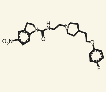 O=C(NCCN1CCC(CCOc2ccc(F)cc2)CC1)N1CCc2cc([N+](=O)[O-])ccc21